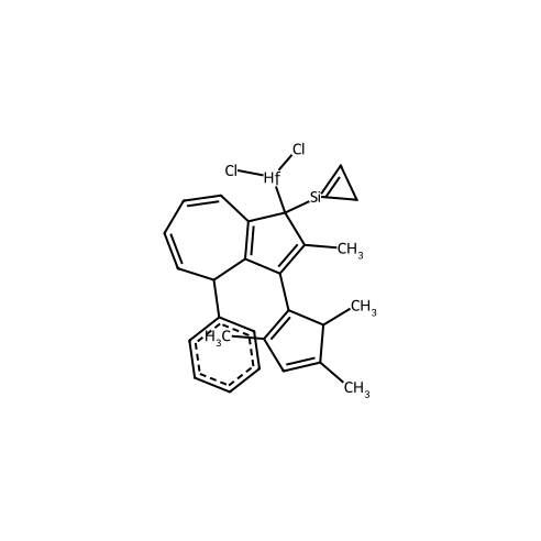 CC1=CC(C)=C(C2=C(C)[C]([Si]3=CC3)([Hf]([Cl])[Cl])C3=C2C(c2ccccc2)C=CC=C3)C1C